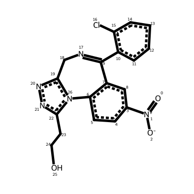 O=[N+]([O-])c1ccc2c(c1)C(c1ccccc1Cl)=NCc1nnc(CCO)n1-2